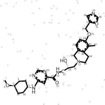 CO[C@H]1CC[C@H](Nc2cc(C(=O)NC[C@H](O)CN3CCc4c(ccc(OCc5cnco5)c4C)C3)ncn2)CC1